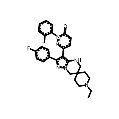 CCN1CCC2(CC1)CNc1c(-c3ccc(=O)n(-c4ccccc4C)n3)c(-c3ccc(F)cc3)nn1C2